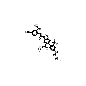 CNC(=O)c1cc2c(C(=O)Nc3ccc(C#N)cc3C(=O)O)noc2cc1-c1ccc(NC(=O)OC)cc1C(F)(F)F